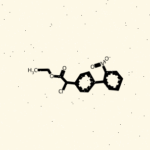 CCOC(=O)C(Cl)c1ccc(-c2ccccc2[N+](=O)[O-])cc1